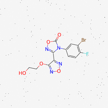 O=c1onc(-c2nonc2OCCO)n1-c1ccc(F)c(Br)c1